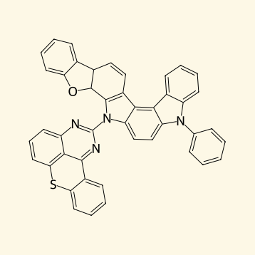 C1=CC2c3ccccc3OC2c2c1c1c3c4ccccc4n(-c4ccccc4)c3ccc1n2-c1nc2c3c(cccc3n1)Sc1ccccc1-2